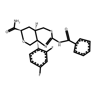 NC(=O)[C@H]1C[C@H]2CSC(NC(=O)c3ccccc3)=N[C@@]2(c2ccc(F)cc2F)CO1